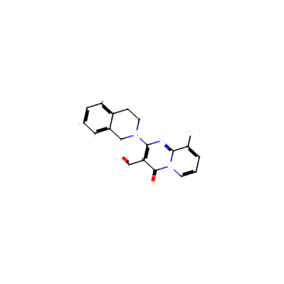 Cc1cccn2c(=O)c(C=O)c(N3CCc4ccccc4C3)nc12